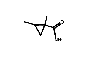 CC1CC1(C)C([NH])=O